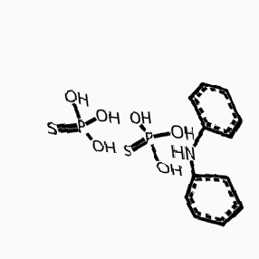 OP(O)(O)=S.OP(O)(O)=S.c1ccc(Nc2ccccc2)cc1